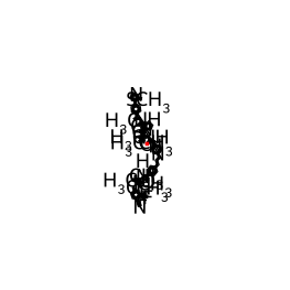 Cc1ncsc1-c1ccc(C(C)NC(=O)[C@@H]2CCCN2C(=O)[C@@H](NC(=O)CN2CCN(CCCc3ccc(C(=O)N[C@H]4C(C)(C)[C@H](Oc5ccc(C#N)c(C(F)(F)F)c5)C4(C)C)cc3)CC2)C(C)(C)C)cc1